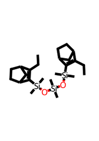 CCC1=C([Si](C)(C)O[Si](C)(C)O[Si](C)(C)C2=C(CC)C3CCC2C3)C2CCC1C2